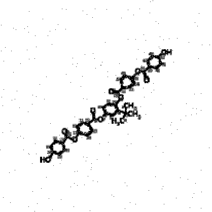 CC(C)(C)c1cc(OC(=O)c2ccc(OC(=O)c3ccc(O)cc3)cc2)ccc1OC(=O)c1ccc(OC(=O)c2ccc(O)cc2)cc1